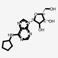 OC[C@H]1O[C@@H](n2cnc3c(NC4CCCC4)ncnc32)C(O)[C@H]1O